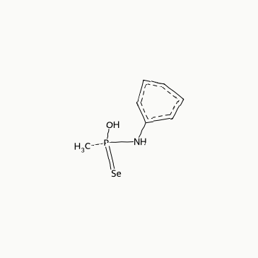 CP(O)(=[Se])Nc1ccccc1